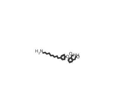 NCCCCCCCCCc1ccc(Oc2cccc3c2C(=O)NC(=O)C3)cc1